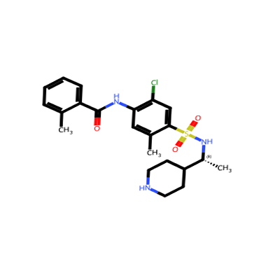 Cc1ccccc1C(=O)Nc1cc(C)c(S(=O)(=O)N[C@H](C)C2CCNCC2)cc1Cl